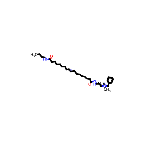 CCCCNC(=O)CCCCCCC/C=C/CCCCCCCC(=O)NCCC[N+](C)(C)Cc1ccccc1